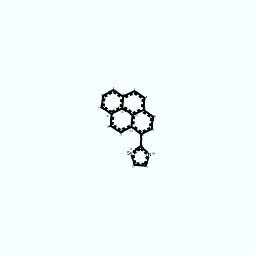 c1cc2ccc3ccc(-c4ncc[se]4)c4ccc(c1)c2c34